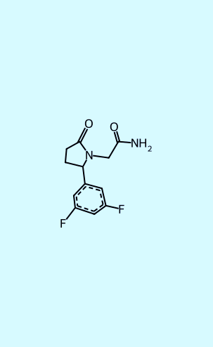 NC(=O)CN1C(=O)CCC1c1cc(F)cc(F)c1